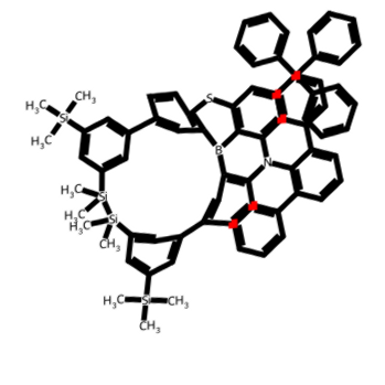 C[Si](C)(C)c1cc2cc(c1)[Si](C)(C)[Si](C)(C)c1cc(cc([Si](C)(C)C)c1)-c1ccc3c(c1)B1c4cc-2ccc4Sc2cc(C(c4ccccc4)(c4ccccc4)c4ccccc4)cc(c21)N3c1c(-c2ccccc2)cccc1-c1ccccc1